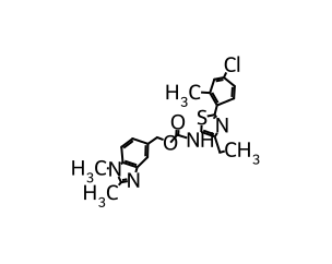 CCc1nc(-c2ccc(Cl)cc2C)sc1NC(=O)OCc1ccc2c(c1)nc(C)n2C